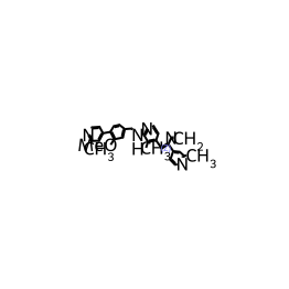 C=N/C(=C\c1ccnc(NCc2ccc(-c3ccnc(C)c3)c(OC)c2)c1C)c1ccnc(C)c1